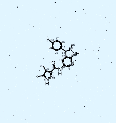 Cc1[nH]nc(C(=O)Nc2cnc3c(c2)C(c2ccc(F)cc2)N(C)N3)c1C